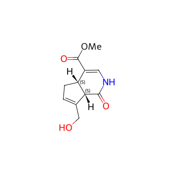 COC(=O)C1=CNC(=O)[C@@H]2C(CO)=CC[C@H]12